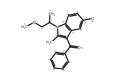 COCC(C)n1c(C)c(C(=O)c2ccccc2)c2cc(Cl)ccc21